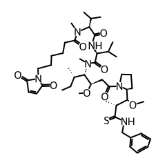 CC[C@H](C)[C@@H]([C@@H](CC(=O)N1CCC[C@H]1[C@H](OC)[C@@H](C)C(=S)NCc1ccccc1)OC)N(C)C(=O)[C@@H](NC(=O)[C@H](C(C)C)N(C)C(=O)CCCCCN1C(=O)C=CC1=O)C(C)C